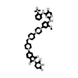 COc1cc(N2CCN(C3CCN(CC4CCN(c5ccc6c(c5)C(=O)N(C5CCC(=O)NC5=O)C6=O)CC4)CC3)CC2)ccc1Nc1ncc(Cl)c(Nc2ccccc2P(C)(C)=O)n1